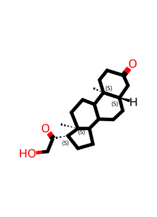 C[C@]12CCC3C(CC[C@H]4CC(=O)CC[C@]34C)C1CC[C@@H]2C(=O)CO